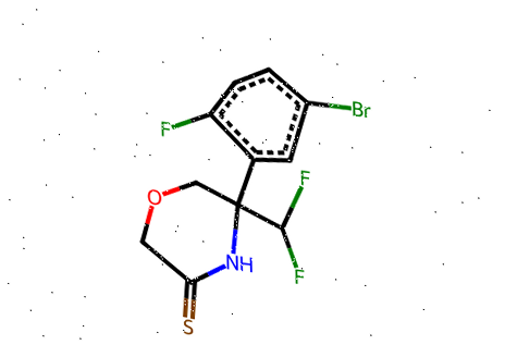 Fc1ccc(Br)cc1C1(C(F)F)COCC(=S)N1